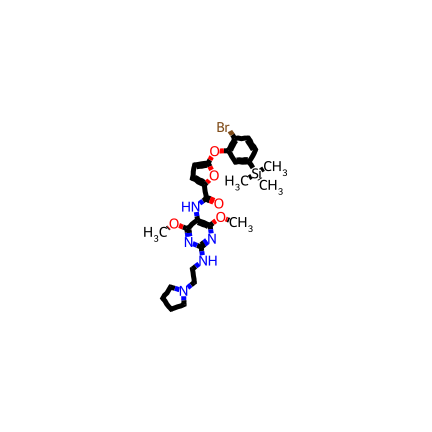 COc1nc(NCCN2CCCC2)nc(OC)c1NC(=O)c1ccc(Oc2cc([Si](C)(C)C)ccc2Br)o1